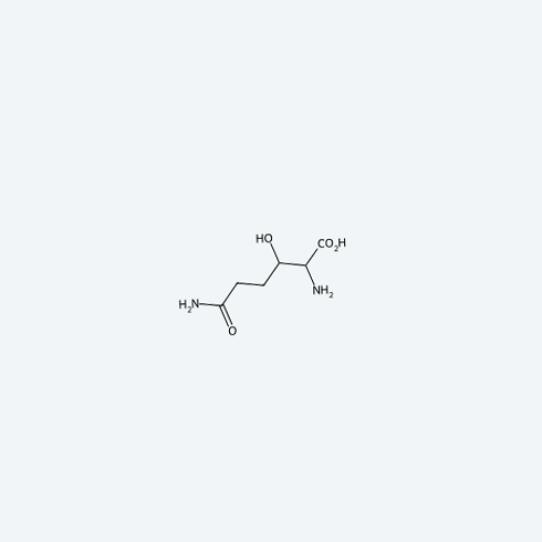 NC(=O)CCC(O)C(N)C(=O)O